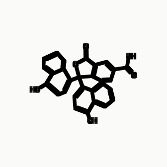 O=C(O)c1ccc2c(c1)C(=O)OC2(c1ccc(O)c2ccccc12)c1ccc(O)c2ccccc12